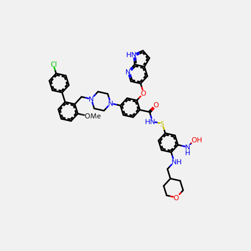 COc1cccc(-c2ccc(Cl)cc2)c1CN1CCN(c2ccc(C(=O)NSc3ccc(NCC4CCOCC4)c(NO)c3)c(Oc3cnc4[nH]ccc4c3)c2)CC1